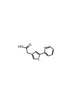 O=C(O)Cc1csc(-c2ccccn2)c1